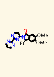 CC[C@H]1c2cc(OC)c(OC)cc2C(=O)N1c1ccnc(-c2ncccn2)n1